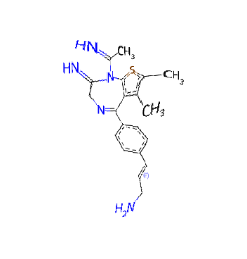 CC(=N)N1C(=N)CN=C(c2ccc(/C=C/CN)cc2)c2c1sc(C)c2C